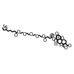 CC(C)[C@]12O[C@H]1[C@H](C)[C@@]13O[C@@]14CCC1=C(COC1=O)[C@@H]4C[C@@H]1O[C@@]13[C@@H]2OC(=O)CCC(=O)OCCOCCOCCOCCOC(=O)CCCCC1CCSS1